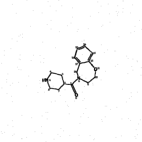 O=C(C1CCNCC1)N1CCOc2ccccc2C1